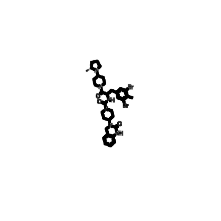 Cc1c(Br)cc(CC(NC(=O)N2CCC(N3Cc4ccccc4NC3=O)CC2)C(=O)N2CCC(N3CCC[C@H]3C)CC2)cc1Br